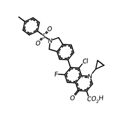 Cc1ccc(S(=O)(=O)N2Cc3ccc(-c4c(F)cc5c(=O)c(C(=O)O)cn(C6CC6)c5c4Cl)cc3C2)cc1